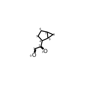 O=CC(=O)C1CCC2CC21